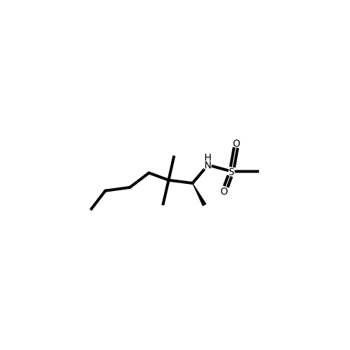 CCCCC(C)(C)[C@H](C)NS(C)(=O)=O